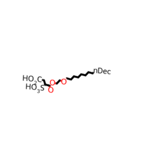 CCCCCCCCCCCCCCCCCCOCCOC(=O)C(CC(=O)O)S(=O)(=O)O